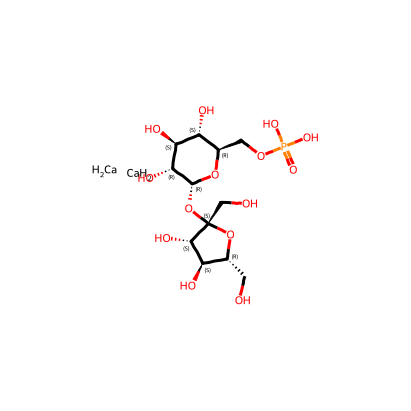 O=P(O)(O)OC[C@H]1O[C@H](O[C@]2(CO)O[C@H](CO)[C@@H](O)[C@@H]2O)[C@H](O)[C@@H](O)[C@@H]1O.[CaH2].[CaH2]